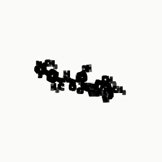 Cc1ncsc1-c1ccc([C@H](C)NC(=O)[C@@H]2C[C@@H](O)CN2C(=O)[C@@H](NC(=O)CC(C)(C)CC(C)(C)CBr)C(C)(C)C)cc1